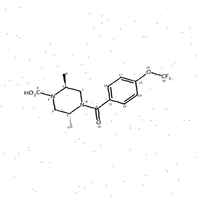 C[C@@H]1CN(C(=O)O)[C@@H](C)CN1C(=O)c1ccc(OC(F)(F)F)cc1